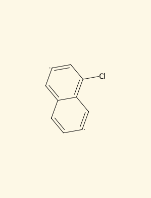 Clc1c[c]cc2cc[c]cc12